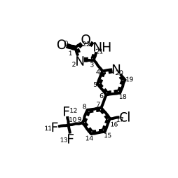 O=c1nc(-c2cc(-c3cc(C(F)(F)F)ccc3Cl)ccn2)[nH]o1